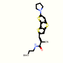 COCCNC(=O)/C(C#N)=C/c1cc2sc3cc(N4CCCC4)sc3c2s1